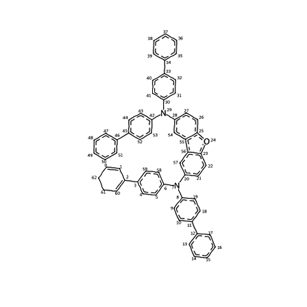 C1=CC(c2ccc(N(c3ccc(-c4ccccc4)cc3)c3ccc4oc5ccc(N(c6ccc(-c7ccccc7)cc6)c6ccc(-c7ccccc7)cc6)cc5c4c3)cc2)=CCC1